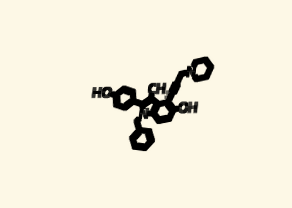 Cc1c(-c2ccc(O)cc2)n(Cc2ccccc2)c2ccc(O)c(C#CCN3CCCCC3)c12